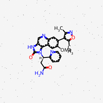 COc1cc2c(cc1-c1c(C)noc1C)ncc1[nH]c(=O)n([C@H](CC(N)=O)c3ccccn3)c12